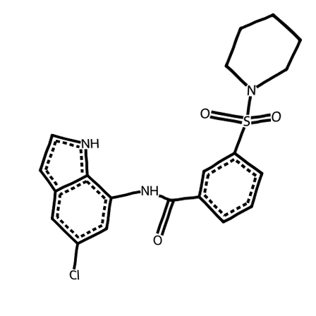 O=C(Nc1cc(Cl)cc2cc[nH]c12)c1cccc(S(=O)(=O)N2CCCCC2)c1